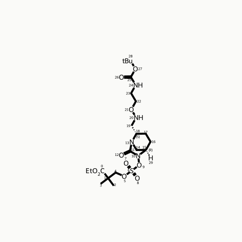 CCOC(=O)C(C)(C)COS(=O)(=O)ON1C(=O)N2C[C@H]1CC[C@H]2CNOCCNC(=O)OC(C)(C)C